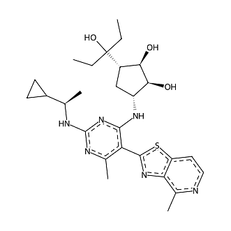 CCC(O)(CC)[C@H]1C[C@@H](Nc2nc(N[C@H](C)C3CC3)nc(C)c2-c2nc3c(C)nccc3s2)[C@H](O)[C@@H]1O